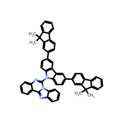 CC1(C)c2ccccc2-c2ccc(-c3ccc4c(c3)c3cc(-c5ccc6c(c5)C(C)(C)c5ccccc5-6)ccc3n4-c3nc4ccccc4c4nc5ccccc5n34)cc21